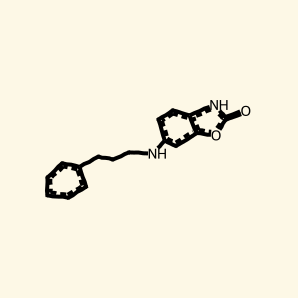 O=c1[nH]c2ccc(NCCCc3ccccc3)cc2o1